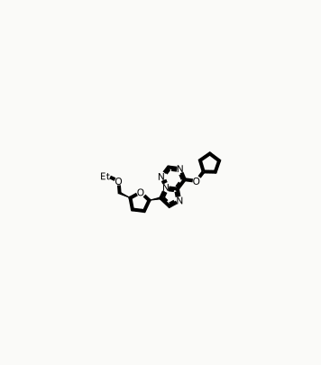 CCOC[C@@H]1CC[C@H](c2cnc3c(OC4CCCC4)ncnn23)O1